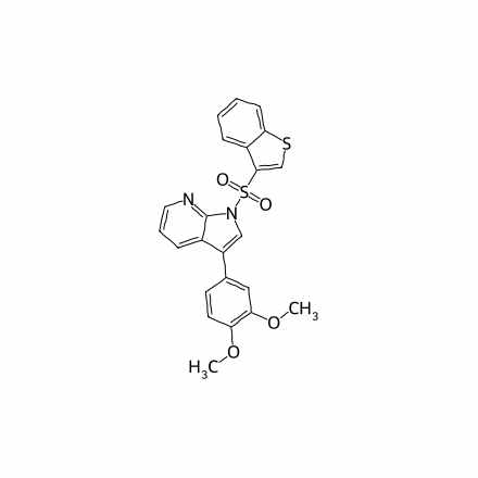 COc1ccc(-c2cn(S(=O)(=O)c3csc4ccccc34)c3ncccc23)cc1OC